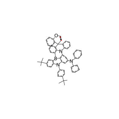 CC(C)(C)c1ccc(N2c3ccc(C(C)(C)C)cc3B3c4cccc5c4N(c4ccccc4C54c5ccccc5Oc5ccccc54)c4cc(N(c5ccccc5)c5ccccc5)cc2c43)cc1